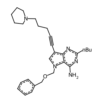 CCCCc1nc(N)c2c(n1)c(C#CCCCN1CCCCC1)cn2COCc1ccccc1